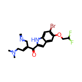 C=NC/C(=C\CN(C)C)C(=O)c1cc2cc(OCC(F)F)c(Br)cc2[nH]1